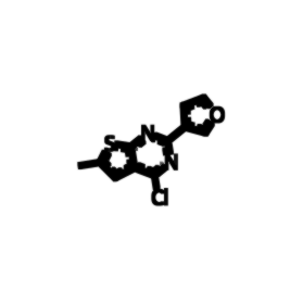 Cc1cc2c(Cl)nc(-c3ccoc3)nc2s1